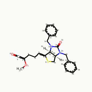 COC(=C=O)CCC=C1SC[C@H]2[C@@H]1N(Cc1ccccc1)C(=O)N2Cc1ccccc1